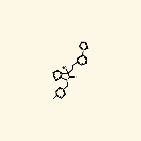 Cc1ccc(CN2C(=O)C(O)(CCc3cccc(-n4cccc4)c3)c3ccccc32)cc1